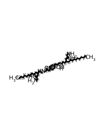 CCCCCCCCCCCC(CCNCC(O)CN1CCN(CC(O)CNCCC(CCCCCCCCCCC)CC(O)CN)CC1)CC(O)CN